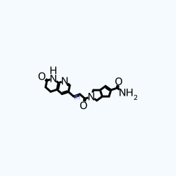 NC(=O)C1=CC2CN(C(=O)/C=C/c3cnc4c(c3)CCC(=O)N4)CC2C1